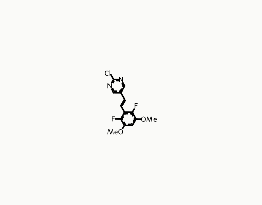 COc1cc(OC)c(F)c(C=Cc2cnc(Cl)nc2)c1F